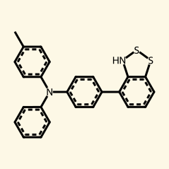 Cc1ccc(N(c2ccccc2)c2ccc(-c3cccc4c3NSS4)cc2)cc1